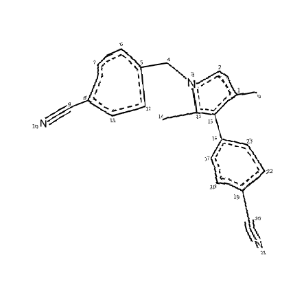 Cc1cn(Cc2ccc(C#N)cc2)c(C)c1-c1ccc(C#N)cc1